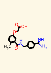 Cc1ccc(OCC(=O)O)cc1C(=O)NCc1ccc(C(=N)N)cc1